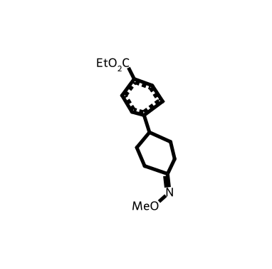 CCOC(=O)c1ccc(C2CCC(=NOC)CC2)cc1